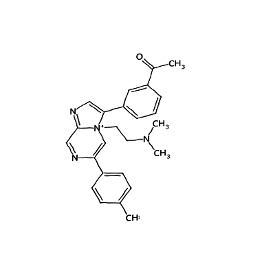 [CH]c1ccc(C2=C[N+]3(CCN(C)C)C(c4cccc(C(C)=O)c4)=CN=C3C=N2)cc1